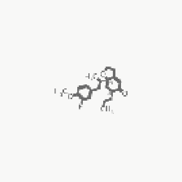 CCC[C@H]1C[C@]2(C(C)Cc3ccc(OC)c(F)c3)OCCC2=CC1=O